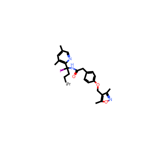 Cc1cnc(C(I)(CCC(C)C)NC(=O)Cc2ccc(OCc3c(C)noc3C)cc2)c(C)c1